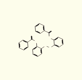 O=C(Oc1ccccc1SSc1ccccc1OC(=O)c1ccccc1)c1ccccc1